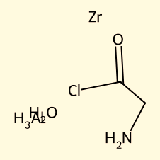 NCC(=O)Cl.O.[AlH3].[Zr]